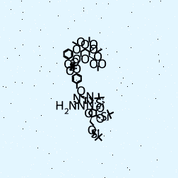 CC(=O)OC[C@H]1OC(Oc2ccccc2OS(=O)(=O)Oc2ccc(COc3nc(N)nc4c3ncn4[C@@H]3O[C@H](CCO[Si](C)(C)C(C)(C)C)C(O[Si](C)(C)C(C)(C)C)[C@@H]3O[Si](C)(C)C(C)(C)C)cc2)[C@H](OC(C)=O)[C@@H](OC(C)=O)[C@H]1OC(C)=O